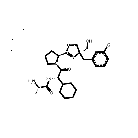 C[C@H](N)C(=O)N[C@H](C(=O)N1CCC[C@H]1C1=N[C@](CO)(Cc2cccc(Cl)c2)CO1)C1CCCCC1